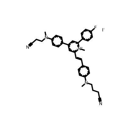 CN(CCC#N)c1ccc(-c2cc(/C=C/c3ccc(N(C)CCCC#N)cc3)[n+](C)c(-c3ccc(F)cc3)c2)cc1.[I-]